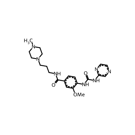 COc1cc(C(=O)NCCCN2CCN(C)CC2)ccc1NC(=O)Nc1cnccn1